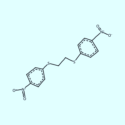 O=[N+]([O-])c1ccc(SCCSc2ccc([N+](=O)[O-])cc2)cc1